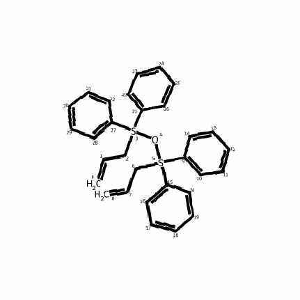 C=CCS(OS(CC=C)(c1ccccc1)c1ccccc1)(c1ccccc1)c1ccccc1